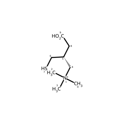 C[N+](C)(C)C[C@H](CS)CC(=O)O